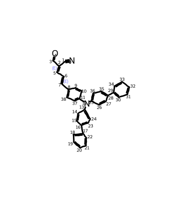 N#C/C(C=O)=C\C=C\c1ccc(N(c2ccc(-c3ccccc3)cc2)c2ccc(-c3ccccc3)cc2)cc1